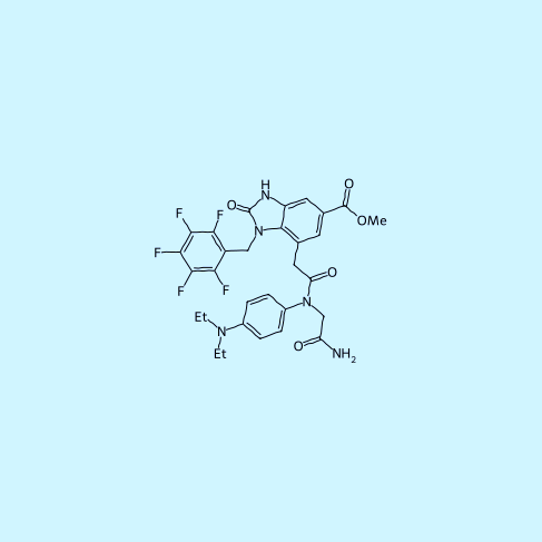 CCN(CC)c1ccc(N(CC(N)=O)C(=O)Cc2cc(C(=O)OC)cc3[nH]c(=O)n(Cc4c(F)c(F)c(F)c(F)c4F)c23)cc1